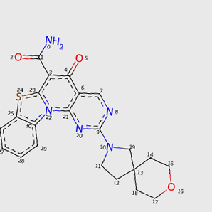 NC(=O)c1c(=O)c2cnc(N3CCC4(CCOCC4)C3)nc2n2c1sc1ccccc12